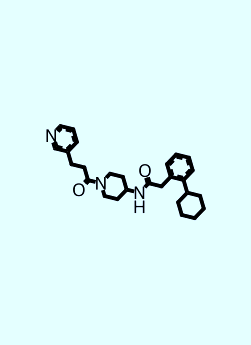 O=C(Cc1ccccc1C1CCCCC1)NC1CCN(C(=O)CCc2cccnc2)CC1